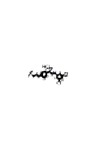 CN(C)CCCc1ccc(C(=O)/C=C/c2cc(Cl)cc(Cl)c2)cc1.Cl